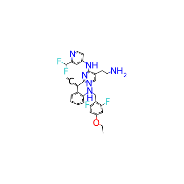 C=C=C(c1ncc(CCN)c(Nc2ccnc(C(F)F)c2)n1)c1ccccc1NCc1c(F)cc(OCC)cc1F